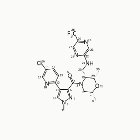 C[C@@H]1CN(C(=O)c2nn(C)cc2-c2ccc(Cl)cn2)[C@H](CNc2cnc(C(F)(F)F)cn2)[C@H](C)O1